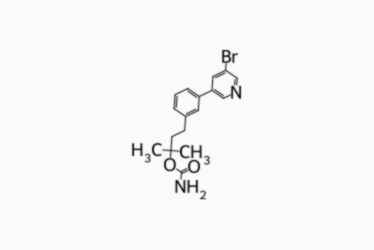 CC(C)(CCc1cccc(-c2cncc(Br)c2)c1)OC(N)=O